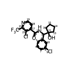 O=C(NC(c1cccc(Cl)c1)C1(O)CCCC1)c1ccnc(C(F)(F)F)c1Cl